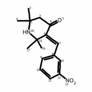 CC1(C)CC(=O)C(=Cc2cccc([N+](=O)[O-])c2)C(C)(C)N1